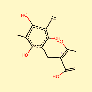 C=C(O)/C(Cc1c(O)c(C)c(O)c(C(C)=O)c1O)=C(\C)O